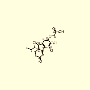 CCC[C@@]12CCC(=O)C=C1c1c(cc(OCC(=O)O)c(Cl)c1Cl)C2Cl